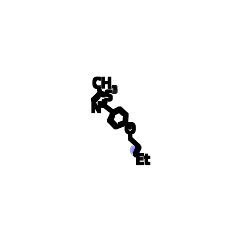 CC/C=C/COc1ccc(-c2ncc(C)s2)cc1